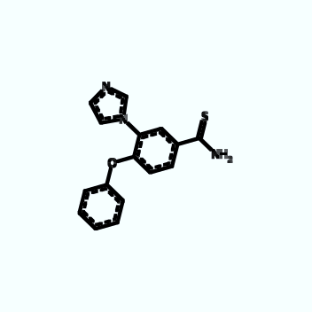 NC(=S)c1ccc(Oc2ccccc2)c(-n2ccnc2)c1